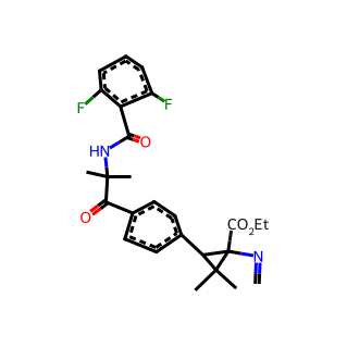 C=NC1(C(=O)OCC)C(c2ccc(C(=O)C(C)(C)NC(=O)c3c(F)cccc3F)cc2)C1(C)C